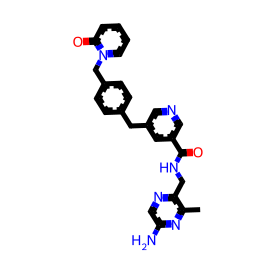 Cc1nc(N)cnc1CNC(=O)c1cncc(Cc2ccc(Cn3ccccc3=O)cc2)c1